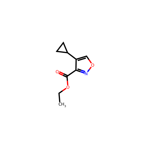 CCOC(=O)c1nocc1C1CC1